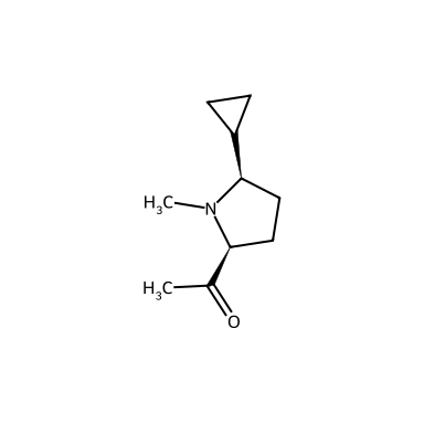 CC(=O)[C@@H]1CC[C@H](C2CC2)N1C